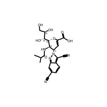 CC(C)C(=O)N[C@H]1[C@H]([C@H](O)[C@H](O)CO)OC(C(=O)O)=C[C@@H]1n1nc2cc(C#N)ccc2c1C#N